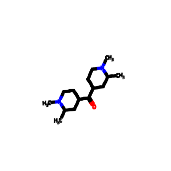 CC1CC(C(=O)C2CCN(C)C(C)C2)CCN1C